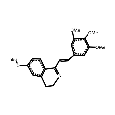 CCCCOc1ccc2c(c1)CCN=C2C=Cc1cc(OC)c(OC)c(OC)c1